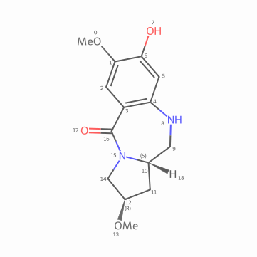 COc1cc2c(cc1O)NC[C@@H]1C[C@@H](OC)CN1C2=O